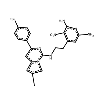 Cc1cn2c(NCCc3cc(N)nc(N)c3[N+](=O)[O-])nc(-c3ccc(C(C)(C)C)cc3)cc2n1